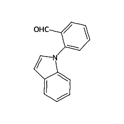 O=Cc1ccccc1-n1ccc2ccccc21